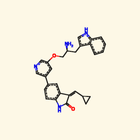 N[C@H](COc1cncc(-c2ccc3c(c2)C(=CC2CC2)C(=O)N3)c1)Cc1c[nH]c2ccccc12